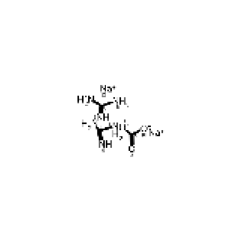 N=C(N)N.N=C(N)N.O=C([O-])[O-].[Na+].[Na+]